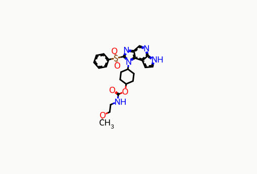 COCCNC(=O)OC1CCC(n2c(S(=O)(=O)c3ccccc3)nc3cnc4[nH]ccc4c32)CC1